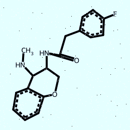 CNC1c2ccccc2OCC1NC(=O)Cc1ccc(F)cc1